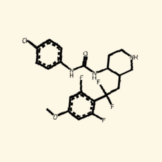 COc1cc(F)c(C(F)(F)CC2CNCCC2NC(=O)Nc2ccc(Cl)cc2)c(F)c1